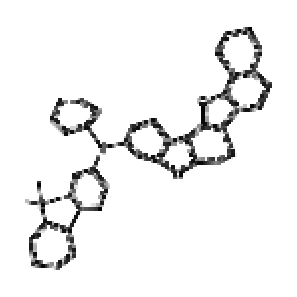 CS1(C)c2ccccc2-c2ccc(N(c3ccccc3)c3ccc4c(c3)oc3ccc5c6ccc7ccccc7c6oc5c34)cc21